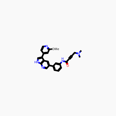 COc1cc(-c2c[nH]c3ncc(-c4cccc(NC(=O)C#CCN(C)C)c4)cc23)ccn1